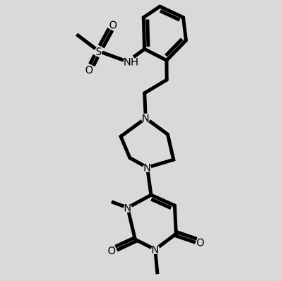 Cn1c(N2CCN(CCc3ccccc3NS(C)(=O)=O)CC2)cc(=O)n(C)c1=O